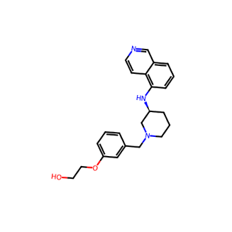 OCCOc1cccc(CN2CCC[C@H](Nc3cccc4cnccc34)C2)c1